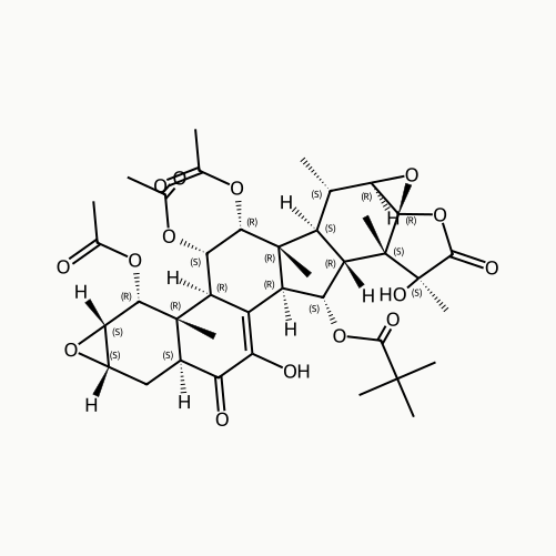 CC(=O)O[C@H]1[C@H]2C(=C(O)C(=O)[C@H]3C[C@@H]4O[C@@H]4[C@H](OC(C)=O)[C@@]32C)[C@@H]2[C@@H](OC(=O)C(C)(C)C)[C@@H]3[C@H]([C@H](C)[C@H]4O[C@]45OC(=O)[C@@](C)(O)[C@]35C)[C@@]2(C)[C@H]1OC(C)=O